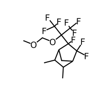 COCOC(C(F)(F)F)(C(F)(F)F)C1(F)C2CC(C(C)C2C)C1(F)F